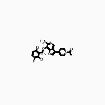 CC(=O)N1CC=C(c2coc3c(O[C@H](C)c4c(Cl)ccc(F)c4Cl)c(N)ncc23)CC1